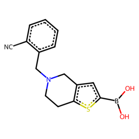 N#Cc1ccccc1CN1CCc2sc(B(O)O)cc2C1